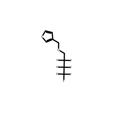 FC(F)(F)C(F)(F)C(F)(F)COCc1ccsc1